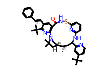 C[C@H]1CC(c2cc(C(C)(C)C)ccn2)Nc2cccc(n2)SNC(=O)c2cc(/C=C/c3ccccc3)c(C(C)(C)C)nc2N2C[C@@H]1CC2(C)C